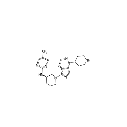 FC(F)(F)c1cnc(N[C@@H]2CCCN(c3ncc4c(C5CCNCC5)nccn34)C2)nc1